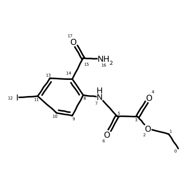 CCOC(=O)C(=O)Nc1ccc(I)cc1C(N)=O